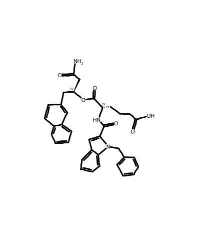 NC(=O)C[C@H](Cc1ccc2ccccc2c1)OC(=O)[C@H](CCCC(=O)O)NC(=O)c1cc2ccccc2n1Cc1ccccc1